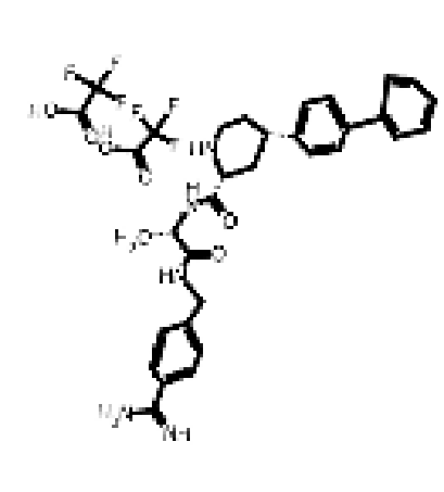 C[C@H](NC(=O)[C@H]1C[C@@H](c2ccc(-c3ccccc3)cc2)CCN1)C(=O)NCc1ccc(C(=N)N)cc1.O=C(O)C(F)(F)F.O=C(O)C(F)(F)F